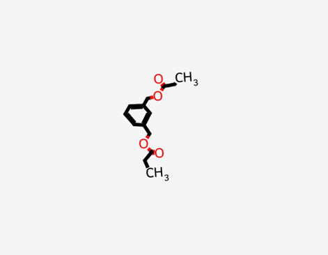 CCC(=O)OCc1cccc(COC(=O)CC)c1